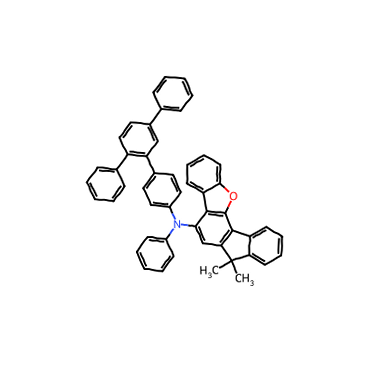 CC1(C)c2ccccc2-c2c1cc(N(c1ccccc1)c1ccc(-c3cc(-c4ccccc4)ccc3-c3ccccc3)cc1)c1c2oc2ccccc21